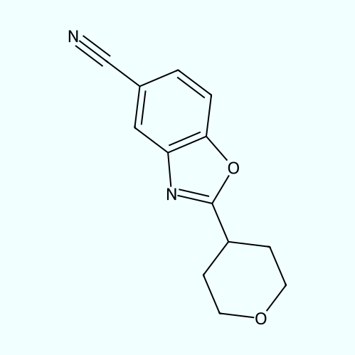 N#Cc1ccc2oc(C3CCOCC3)nc2c1